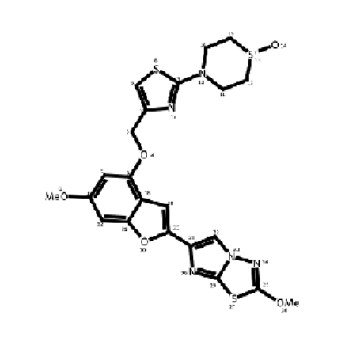 COc1cc(OCc2csc(N3CC[S+]([O-])CC3)n2)c2cc(-c3cn4nc(OC)sc4n3)oc2c1